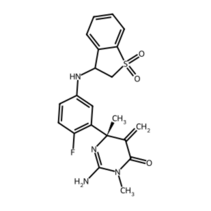 C=C1C(=O)N(C)C(N)=N[C@]1(C)c1cc(NC2CS(=O)(=O)c3ccccc32)ccc1F